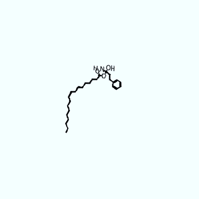 CCCCCCCC/C=C\CCCCCCCC(=O)OC(N)(O)CCc1ccccc1